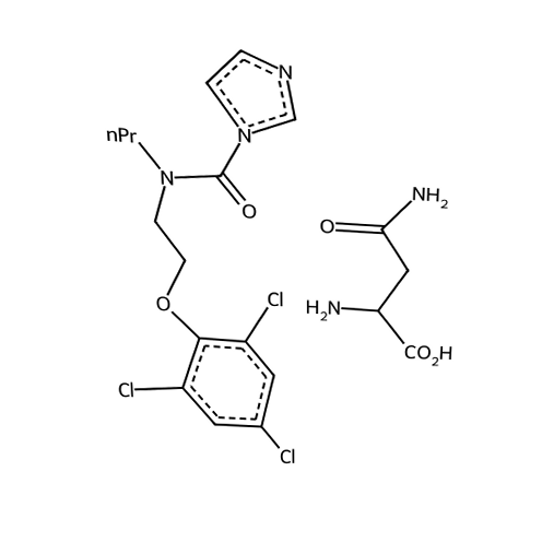 CCCN(CCOc1c(Cl)cc(Cl)cc1Cl)C(=O)n1ccnc1.NC(=O)CC(N)C(=O)O